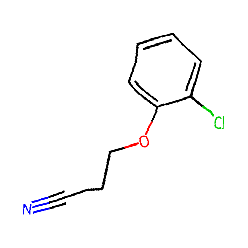 N#CCCOc1ccccc1Cl